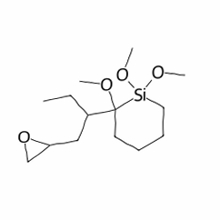 CCC(CC1CO1)C1(OC)CCCC[Si]1(OC)OC